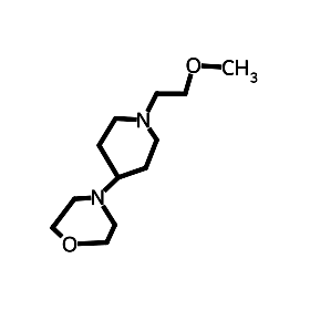 COCCN1CCC(N2CCOCC2)CC1